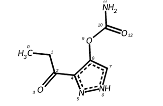 CCC(=O)c1n[nH]cc1OC(N)=O